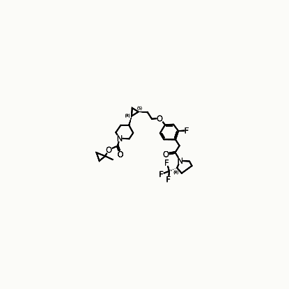 CC1(OC(=O)N2CCC([C@H]3C[C@H]3CCOc3ccc(CC(=O)N4CCC[C@@H]4C(F)(F)F)c(F)c3)CC2)CC1